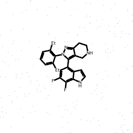 CCc1cccc(CC)c1-n1nc2c(c1-c1cc(F)c(F)c3[nH]ccc13)CNCC2